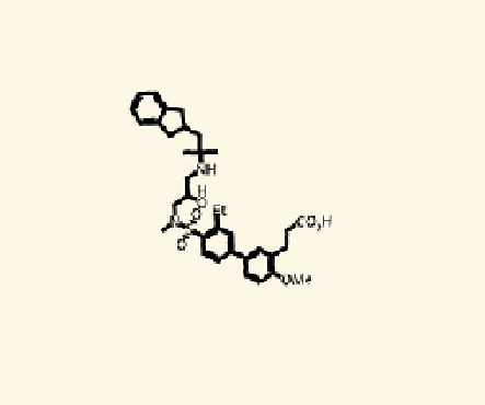 CCc1cc(-c2ccc(OC)c(CCC(=O)O)c2)ccc1S(=O)(=O)N(C)CC(O)CNC(C)(C)CC1Cc2ccccc2C1